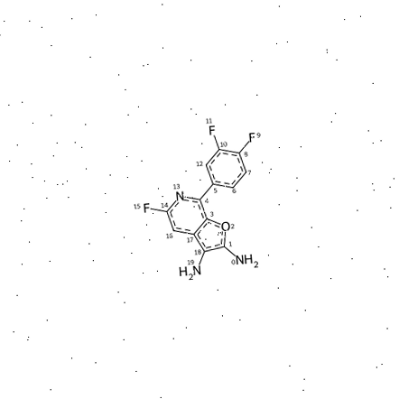 Nc1oc2c(-c3ccc(F)c(F)c3)nc(F)cc2c1N